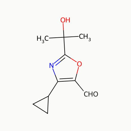 CC(C)(O)c1nc(C2CC2)c(C=O)o1